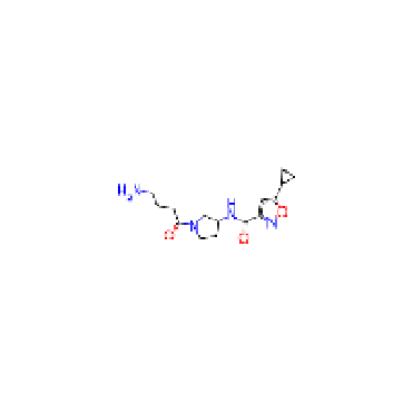 NCCCC(=O)N1CCC(NC(=O)c2cc(C3CC3)on2)C1